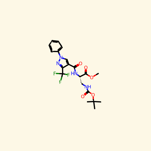 COC(=O)[C@H](CNC(=O)OC(C)(C)C)NC(=O)c1cn(-c2ccccc2)nc1C(F)(F)F